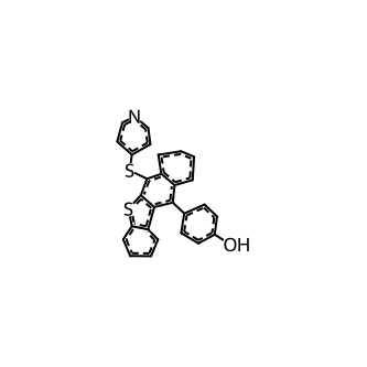 Oc1ccc(-c2c3ccccc3c(Sc3ccncc3)c3sc4ccccc4c23)cc1